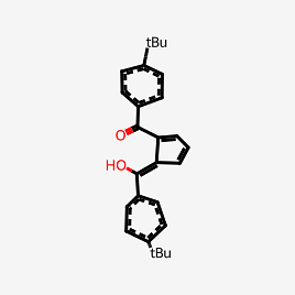 CC(C)(C)c1ccc(C(=O)C2=CC=C/C2=C(/O)c2ccc(C(C)(C)C)cc2)cc1